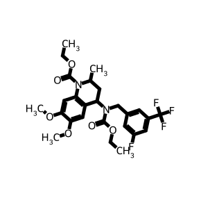 CCOC(=O)N(Cc1cc(F)cc(C(F)(F)F)c1)C1CC(C)N(C(=O)OCC)c2cc(OC)c(OC)cc21